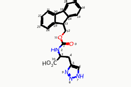 O=C(NC(Cc1c[nH]nn1)C(=O)O)OCC1c2ccccc2-c2ccccc21